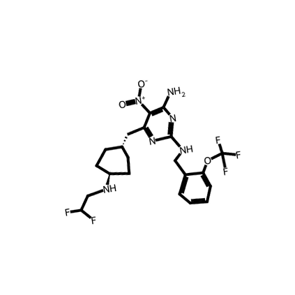 Nc1nc(NCc2ccccc2OC(F)(F)F)nc(C[C@H]2CC[C@H](NCC(F)F)CC2)c1[N+](=O)[O-]